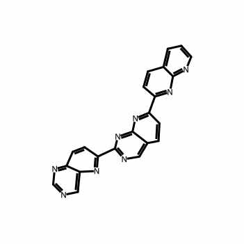 c1cnc2nc(-c3ccc4cnc(-c5ccc6ncncc6n5)nc4n3)ccc2c1